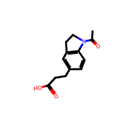 CC(=O)N1CCc2cc(CCC(=O)O)ccc21